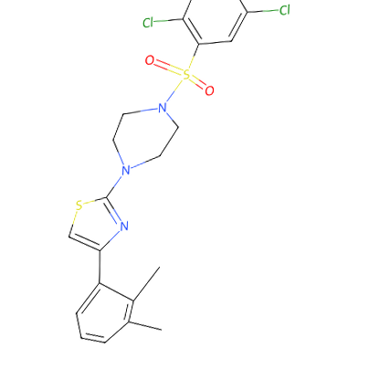 Cc1cccc(-c2csc(N3CCN(S(=O)(=O)c4cc(Cl)ccc4Cl)CC3)n2)c1C